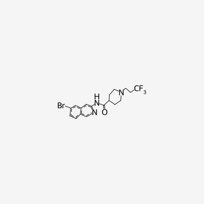 O=C(Nc1cc2cc(Br)ccc2cn1)C1CCN(CCC(F)(F)F)CC1